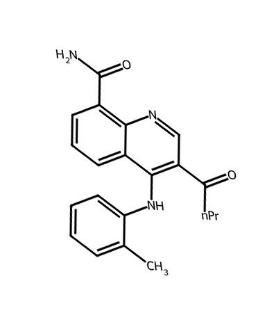 CCCC(=O)c1cnc2c(C(N)=O)cccc2c1Nc1ccccc1C